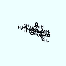 N=C(N)NCCC[C@H](NC(=O)[C@H](Cc1c[nH]c2ccccc12)NC(=O)[C@@H](CC1CCCCC1)NC(=O)[C@@H]1CCCN1C(=O)[C@H](CCCN)NC(=O)[C@H](Cc1ccccc1)NC(=O)[C@@H](N)CS)C(=O)O